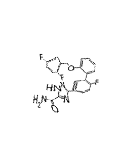 NC(=O)c1nc(-c2ccc(F)c(-c3ccccc3OCc3cc(F)ccc3F)c2)n[nH]1